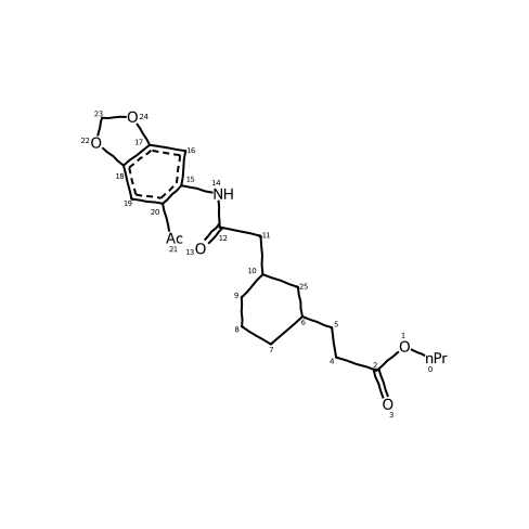 CCCOC(=O)CCC1CCCC(CC(=O)Nc2cc3c(cc2C(C)=O)OCO3)C1